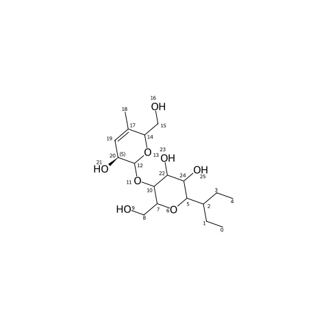 CCC(CC)C1OC(CO)C(OC2OC(CO)C(C)=C[C@@H]2O)C(O)C1O